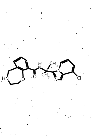 CC(C)(NC(=O)c1cccc2c1OCCNC2)c1ncc2c(Cl)cccn12